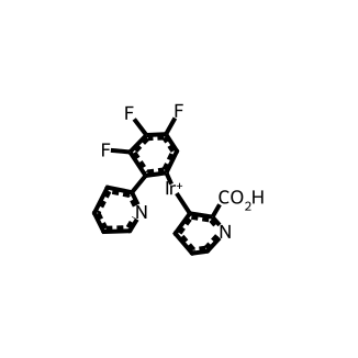 O=C(O)c1nccc[c]1[Ir+][c]1cc(F)c(F)c(F)c1-c1ccccn1